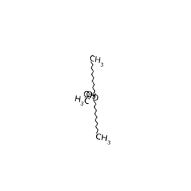 CCCCCCCCCCCCOC(=O)CCCCCCCCCCC.CCO